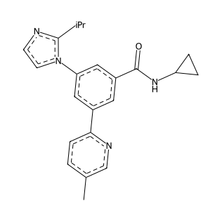 Cc1ccc(-c2cc(C(=O)NC3CC3)cc(-n3ccnc3C(C)C)c2)nc1